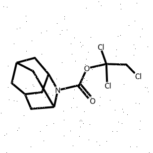 O=C(OC(Cl)(Cl)CCl)N1C2CC3CC(C2)CC1C3